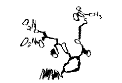 CS(=O)(=O)SCCOC(=O)c1ccc(N=[N+]=[N-])cc1OC(=O)CC(CO[N+](=O)[O-])O[N+](=O)[O-]